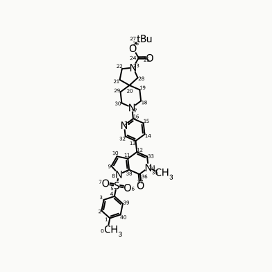 Cc1ccc(S(=O)(=O)n2ccc3c(-c4ccc(N5CCC6(CCN(C(=O)OC(C)(C)C)C6)CC5)nc4)cn(C)c(=O)c32)cc1